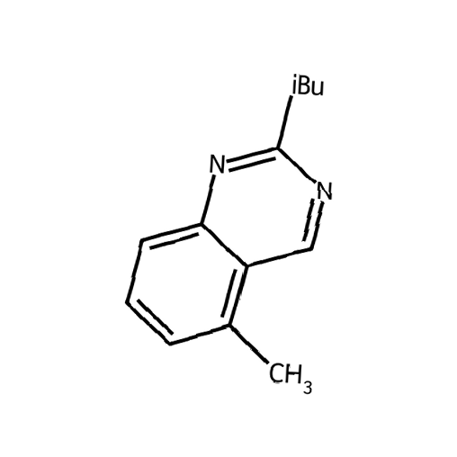 CCC(C)c1ncc2c(C)cccc2n1